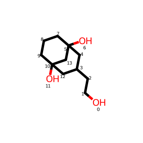 OCCC1CC2(O)CCCC(O)(C1)C2